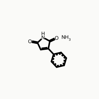 N.O=C1C=C(c2ccccc2)C(=O)N1